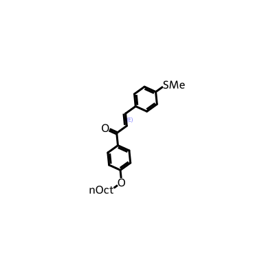 CCCCCCCCOc1ccc(C(=O)/C=C/c2ccc(SC)cc2)cc1